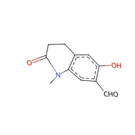 CN1C(=O)CCc2cc(O)c(C=O)cc21